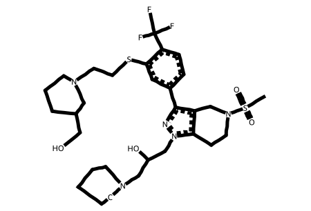 CS(=O)(=O)N1CCc2c(c(-c3ccc(C(F)(F)F)c(SCCN4CCCC(CO)C4)c3)nn2CC(O)CN2CCCCC2)C1